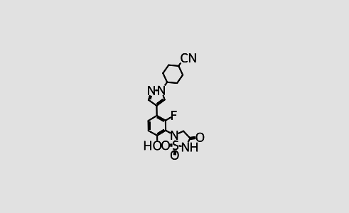 N#CC1CCC(n2cc(-c3ccc(O)c(N4CC(=O)NS4(=O)=O)c3F)cn2)CC1